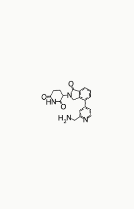 NCc1cc(-c2cccc3c2CN(C2CCC(=O)NC2=O)C3=O)ccn1